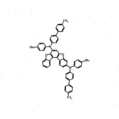 Cc1ccc(-c2ccc(N(c3ccc(C(C)(C)C)cc3)c3ccc4c(c3)oc3cc(N(c5ccc(-c6ccc(C)cc6)cc5)c5ccc(C(C)(C)C)cc5)c5oc6ccccc6c5c34)cc2)cc1